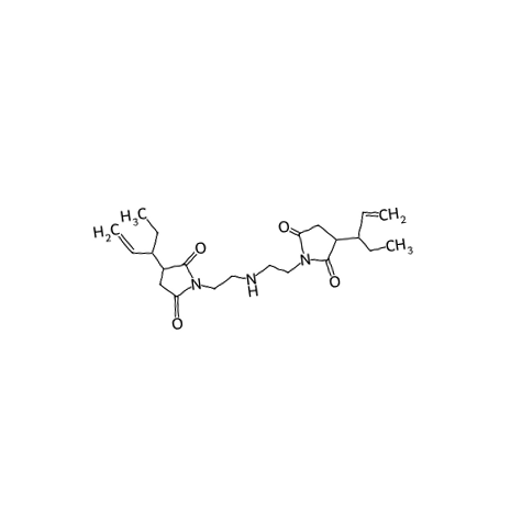 C=CC(CC)C1CC(=O)N(CCNCCN2C(=O)CC(C(C=C)CC)C2=O)C1=O